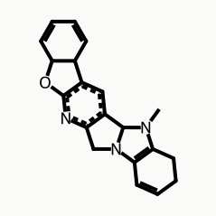 CN1C2=C(C=CCC2)N2Cc3nc4c(cc3C12)C1C=CC=CC1O4